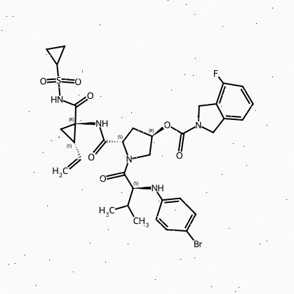 C=C[C@@H]1C[C@]1(NC(=O)[C@@H]1C[C@@H](OC(=O)N2Cc3cccc(F)c3C2)CN1C(=O)[C@@H](Nc1ccc(Br)cc1)C(C)C)C(=O)NS(=O)(=O)C1CC1